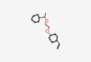 C=Cc1ccc(OCCOC(C)c2ccccc2)cc1